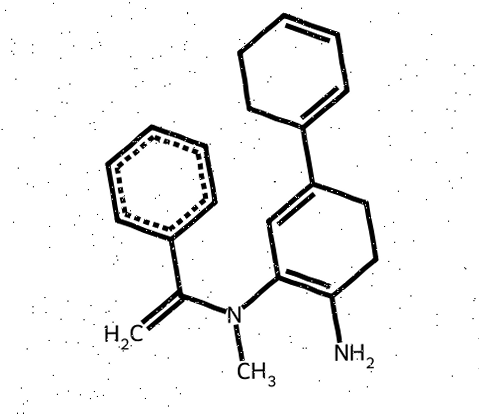 C=C(c1ccccc1)N(C)C1=C(N)CCC(C2=CC=CCC2)=C1